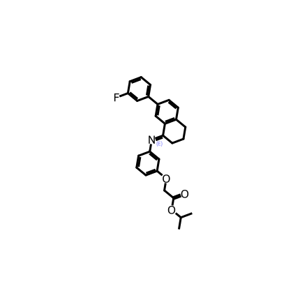 CC(C)OC(=O)COc1cccc(/N=C2\CCCc3ccc(-c4cccc(F)c4)cc32)c1